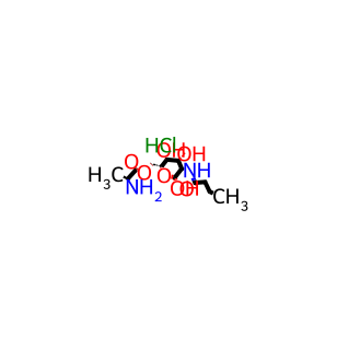 CCCC(=O)N[C@H]1C(O)O[C@H](COC(=O)[C@H](C)N)[C@@H](O)[C@@H]1O.Cl